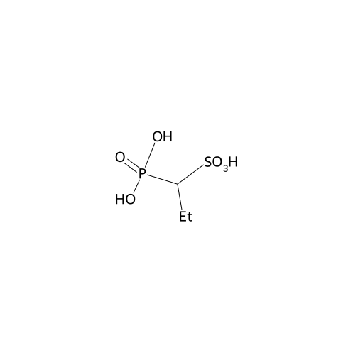 CCC(P(=O)(O)O)S(=O)(=O)O